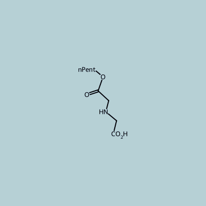 CCCCCOC(=O)CNCC(=O)O